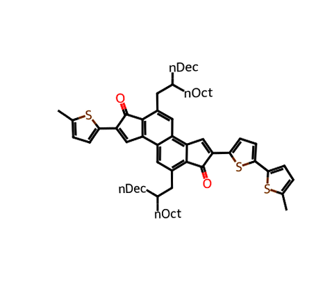 CCCCCCCCCCC(CCCCCCCC)Cc1cc2c3cc(-c4ccc(-c5ccc(C)s5)s4)c(=O)c3c(CC(CCCCCCCC)CCCCCCCCCC)cc2c2cc(-c3ccc(C)s3)c(=O)c12